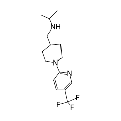 CC(C)NCC1CCN(c2ccc(C(F)(F)F)cn2)CC1